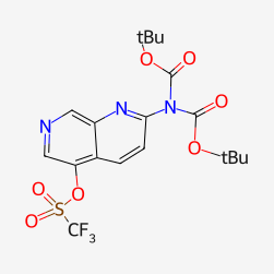 CC(C)(C)OC(=O)N(C(=O)OC(C)(C)C)c1ccc2c(OS(=O)(=O)C(F)(F)F)cncc2n1